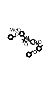 COc1ccc(C2=NN(C3CCN(C(=O)c4cc(OCc5ccccc5)ccc4C)CC3)C(=O)C2(C)C)cc1OCc1ccccc1